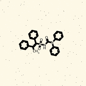 CC(=C(c1ccccc1)S(=O)(=O)NC(=O)N(c1ccccc1)c1ccccc1)c1ccccc1